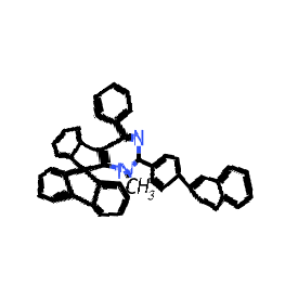 CN1C2=C(C(c3ccccc3)=NC1c1ccc(-c3ccc4ccccc4c3)cc1)c1ccccc1C21c2ccccc2-c2ccccc21